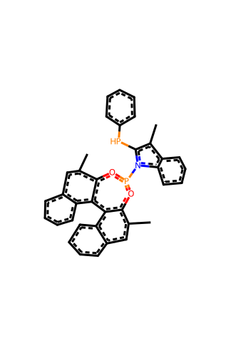 Cc1c(Pc2ccccc2)n(-p2oc3c(C)cc4ccccc4c3c3c(o2)c(C)cc2ccccc23)c2ccccc12